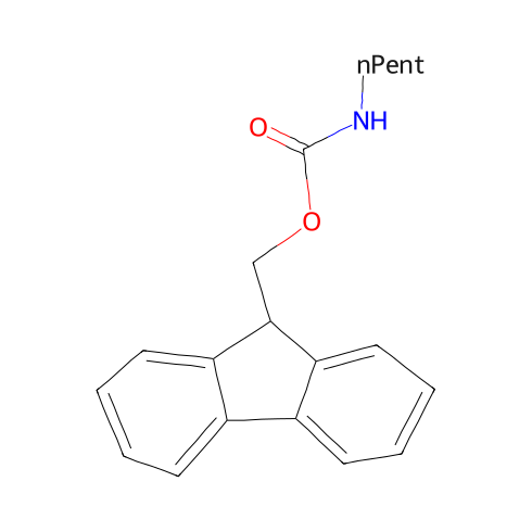 [CH]CCCCNC(=O)OCC1c2ccccc2-c2ccccc21